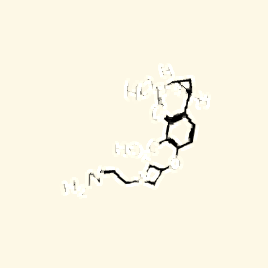 NCCN1CC(Oc2ccc3c(c2C(=O)O)OB(O)[C@H]2C[C@@H]32)C1